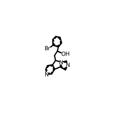 OC(CC1c2ccncc2-c2cncn21)c1ccccc1Br